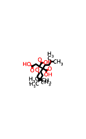 CC(C)CCOC(CC(=O)O)(C(=O)O)C(CCC(C)C)(CCC(C)C)C(=O)O